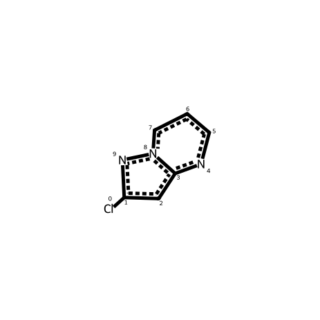 Clc1cc2ncccn2n1